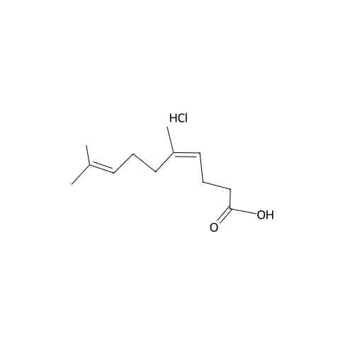 CC(C)=CCC/C(C)=C\CCC(=O)O.Cl